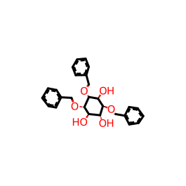 O[C@@H]1[C@@H](O)[C@H](OCc2ccccc2)[C@H](OCc2ccccc2)[C@@H](O)[C@H]1OCc1ccccc1